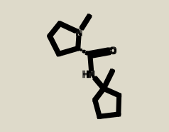 CN1CCC[C@H]1C(=O)NC1(C)CCCC1